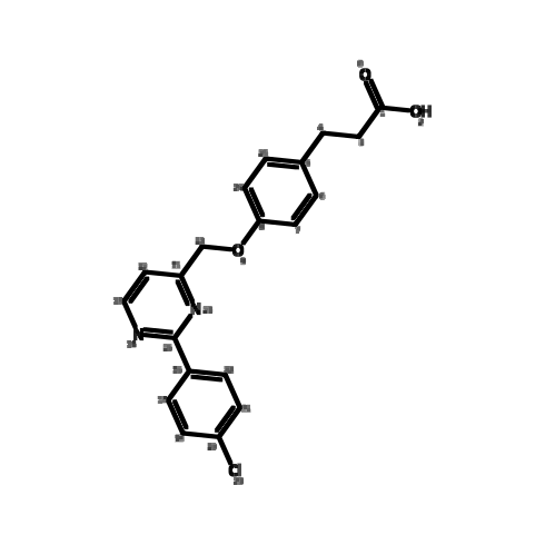 O=C(O)CCc1ccc(OCc2ccnc(-c3ccc(Cl)cc3)n2)cc1